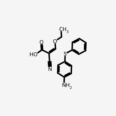 CCOC=C(C#N)C(=O)O.Nc1ccc(Sc2ccccc2)cc1